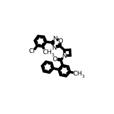 Cc1ccc(-c2ccccc2)c(C(=O)N2CCC2c2nc(-c3cccc(Cl)c3C)no2)c1